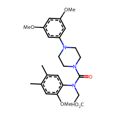 COc1cc(OC)cc(N2CCN(C(=O)N(CC(=O)O)c3cc(C)c(C)cc3OC)CC2)c1